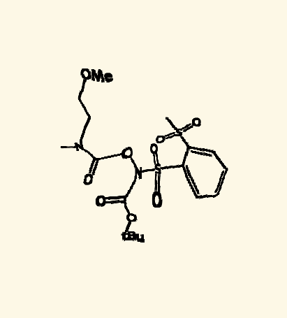 COCCN(C)C(=O)ON(C(=O)OC(C)(C)C)S(=O)(=O)c1ccccc1S(C)(=O)=O